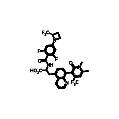 Cc1cc(C(F)(F)F)c(-c2ccc(C[C@H](NC(=O)c3c(F)cc(N4CC[C@@H]4C(F)(F)F)cc3F)C(=O)O)c3cccnc23)c(=O)n1C